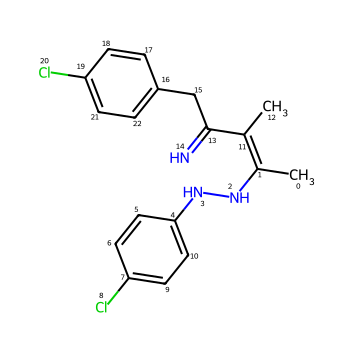 CC(NNc1ccc(Cl)cc1)=C(C)C(=N)Cc1ccc(Cl)cc1